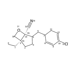 CC[C@@]12CCC(CC3C=CC(Cl)=CC3)[C@]1(C#N)OC2